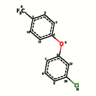 FC(F)(F)c1ccc(Oc2cccc(Cl)c2)cc1